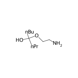 CCCCC(O)(CCC)OCCN